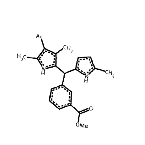 COC(=O)c1cccc(C(c2ccc(C)[nH]2)c2[nH]c(C)c(C(C)=O)c2C)c1